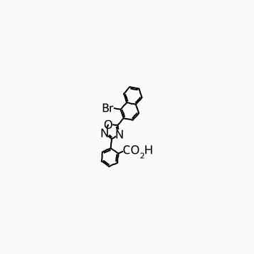 O=C(O)c1ccccc1-c1noc(-c2ccc3ccccc3c2Br)n1